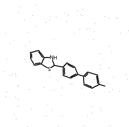 Cc1ccc(-c2ccc(C3Nc4ccccc4S3)cc2)cc1